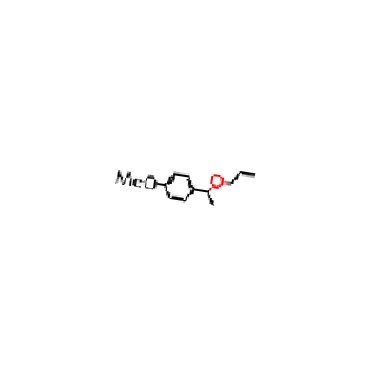 C=CCOC(C)c1ccc(OC)cc1